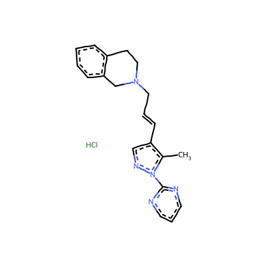 Cc1c(/C=C/CN2CCc3ccccc3C2)cnn1-c1ncccn1.Cl